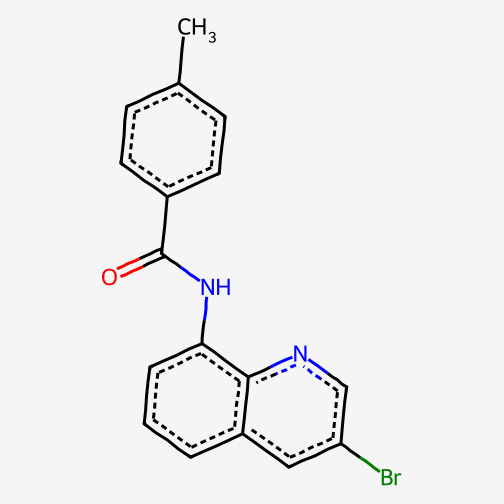 Cc1ccc(C(=O)Nc2cccc3cc(Br)cnc23)cc1